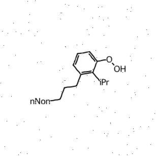 CCCCCCCCCCCCc1cccc(OO)c1C(C)C